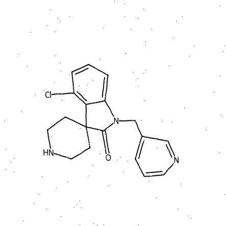 O=C1N(Cc2cccnc2)c2cccc(Cl)c2C12CCNCC2